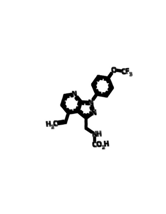 C=Cc1ccnc2c1c(CNC(=O)O)nn2-c1ccc(OC(F)(F)F)cc1